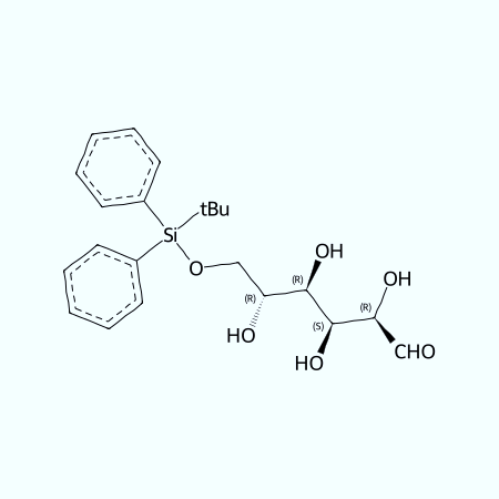 CC(C)(C)[Si](OC[C@@H](O)[C@@H](O)[C@H](O)[C@@H](O)C=O)(c1ccccc1)c1ccccc1